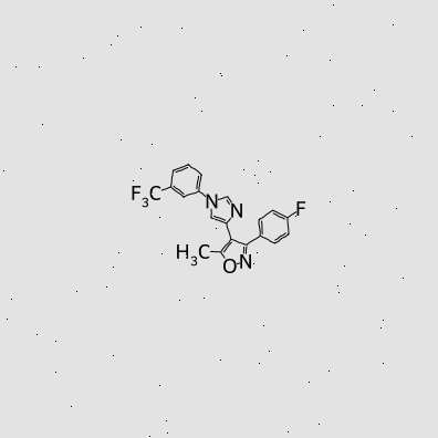 Cc1onc(-c2ccc(F)cc2)c1-c1cn(-c2cccc(C(F)(F)F)c2)cn1